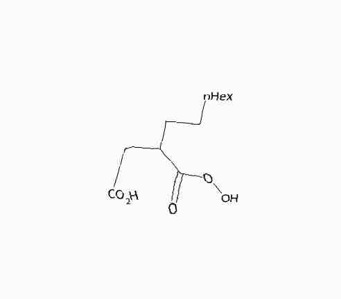 CCCCCCCCC(CC(=O)O)C(=O)OO